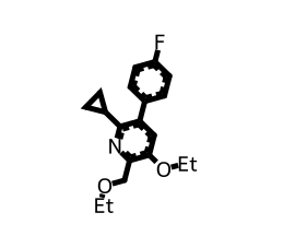 CCOCc1nc(C2CC2)c(-c2ccc(F)cc2)cc1OCC